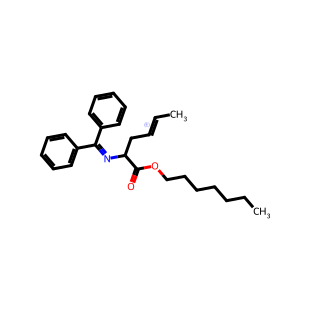 C/C=C/CC(N=C(c1ccccc1)c1ccccc1)C(=O)OCCCCCCC